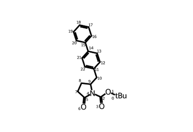 CC(C)(C)OC(=O)N1C(=O)CCC1Cc1ccc(-c2ccccc2)cc1